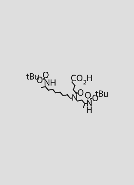 CC(CCCCCCCN(CCC(C)NC(=O)OC(C)(C)C)C(=O)CCCC(=O)O)NC(=O)OC(C)(C)C